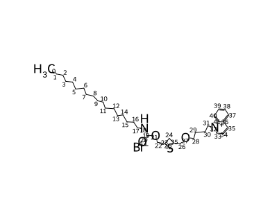 CCCCCCCCCCCCCCCCCCNC(=O)OCC1CC(COCCCC[n+]2cccc3ccccc32)S1.[Br-]